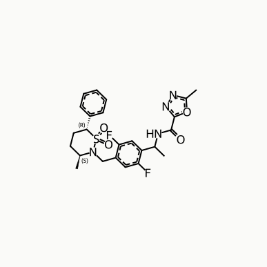 Cc1nnc(C(=O)NC(C)c2cc(F)c(CN3[C@@H](C)CC[C@H](c4ccccc4)S3(=O)=O)cc2F)o1